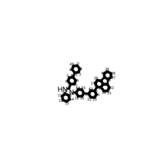 c1ccc(-c2ccc(C3Nc4ccccc4N3c3ccc(-c4cccc(-c5ccc6c7c(cccc57)-c5ccccc5-6)c4)cc3)cc2)cc1